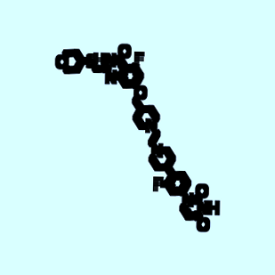 O=c1ccn(-c2ccc(C3CCN(CCN4CCC(COc5cc(F)c6c(=O)[nH]c(CSC7CCOCC7)nc6c5)CC4)CC3)c(F)c2)c(=O)[nH]1